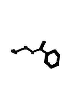 CCCCOOC(=O)c1ccccc1